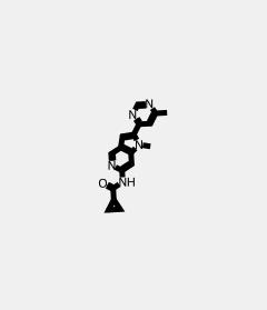 Cc1cc(-c2cc3cnc(NC(=O)C4CC4)cc3n2C)ncn1